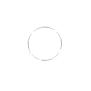 C1CNCCCNCCCNCNCCCNC1